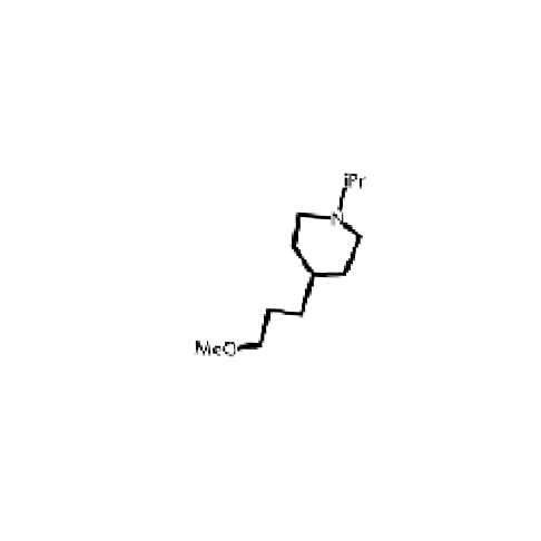 COCCCC1CCN(C(C)C)CC1